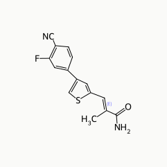 C/C(=C\c1cc(-c2ccc(C#N)c(F)c2)cs1)C(N)=O